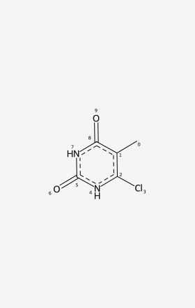 Cc1c(Cl)[nH]c(=O)[nH]c1=O